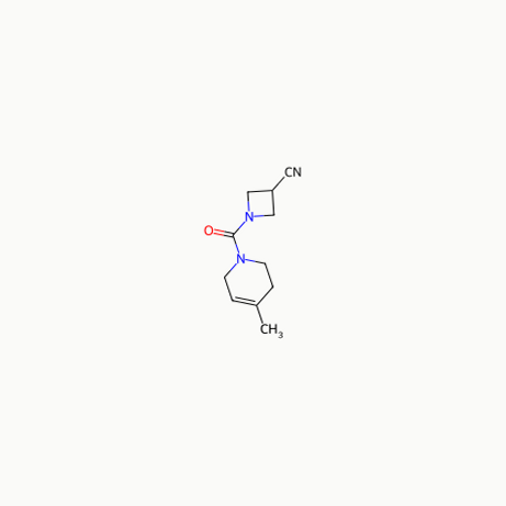 CC1=CCN(C(=O)N2CC(C#N)C2)CC1